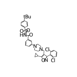 CC(C)(C)c1ccc(S(=O)(=O)NC(=O)c2cccc(N3CCN(Cc4c(-c5c(Cl)cccc5Cl)noc4C4CC4)CC3)c2)cc1